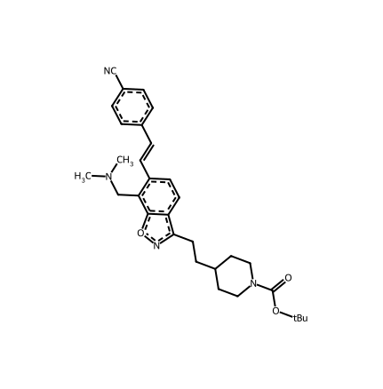 CN(C)Cc1c(/C=C/c2ccc(C#N)cc2)ccc2c(CCC3CCN(C(=O)OC(C)(C)C)CC3)noc12